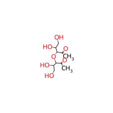 CC(=O)C(OC(C(C)=O)C(O)CO)C(O)CO